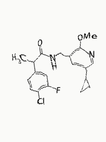 COc1ncc(C2CC2)cc1CNC(=O)C(C)c1ccc(Cl)c(F)c1